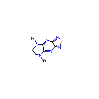 CC(C)N1CCN(C(C)C)c2nc3nonc3nc21